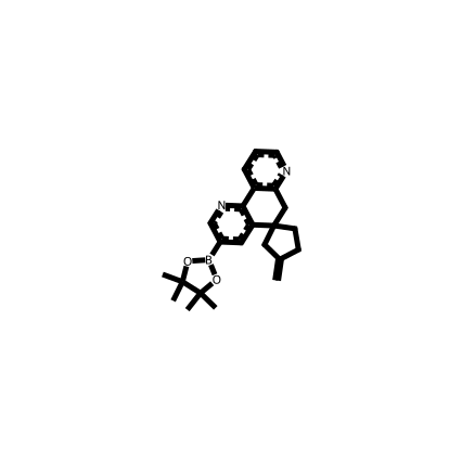 C=C1CCC2(C1)Cc1ncccc1-c1ncc(B3OC(C)(C)C(C)(C)O3)cc12